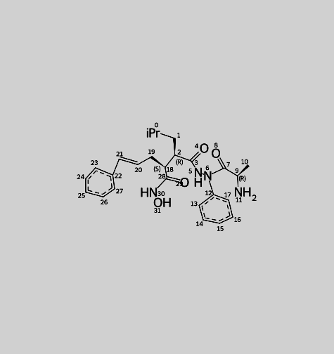 CC(C)C[C@@H](C(=O)NN(C(=O)[C@@H](C)N)c1ccccc1)[C@H](CC=Cc1ccccc1)C(=O)NO